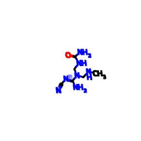 CNCN(CNC(N)=O)/C(N)=N/C#N